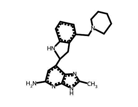 Cc1nc2c(C3Cc4c(CN5CCCCC5)cccc4N3)cc(N)nc2[nH]1